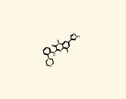 Cn1c(=O)c(Nc2ccccc2N2CCOCC2)nc2c(F)cc(-c3cn[nH]c3)cc21